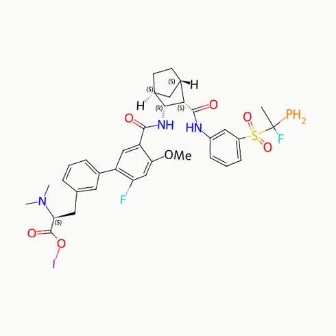 COc1cc(F)c(-c2cccc(C[C@@H](C(=O)OI)N(C)C)c2)cc1C(=O)N[C@@H]1[C@H]2CC[C@@H](C2)[C@@H]1C(=O)Nc1cccc(S(=O)(=O)C(C)(F)P)c1